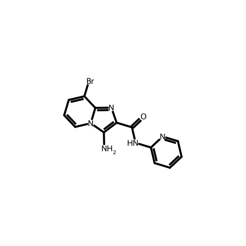 Nc1c(C(=O)Nc2ccccn2)nc2c(Br)cccn12